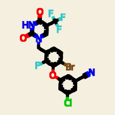 N#Cc1cc(Cl)cc(Oc2c(Br)ccc(Cn3cc(C(F)(F)F)c(=O)[nH]c3=O)c2F)c1